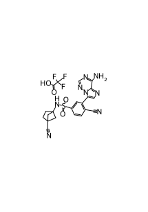 N#Cc1ccc(S(=O)(=O)NC23CCC(C#N)(C2)C3)cc1-c1cnc2c(N)ncnn12.O=C(O)C(F)(F)F